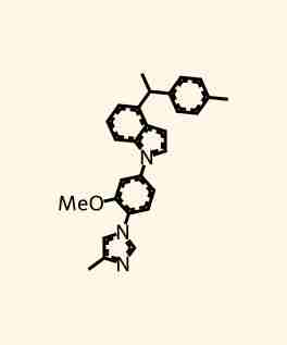 COc1cc(-n2ccc3c(C(C)c4ccc(C)cc4)cccc32)ccc1-n1cnc(C)c1